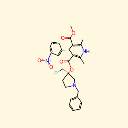 COC(=O)C1=C(C)NC(C)=C(C(=O)O[C@]2(CF)CCN(Cc3ccccc3)C2)[C@@H]1c1cccc([N+](=O)[O-])c1